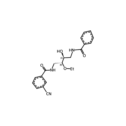 CCO[C@H](CNC(=O)c1cccc(C#N)c1)[C@@H](O)CNC(=O)c1ccccc1